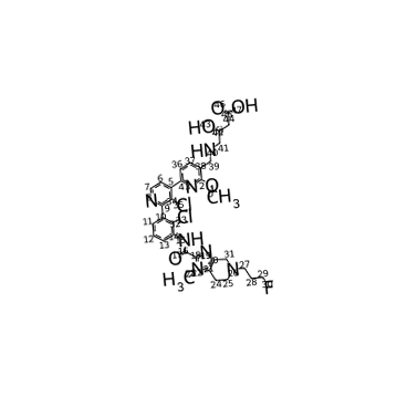 COc1nc(-c2ccnc(-c3cccc(NC(=O)c4nc5c(n4C)CCN(CCCF)C5)c3Cl)c2Cl)ccc1CNC[C@@H](O)CC(=O)O